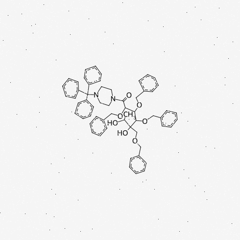 CC(O)C(O)(COCc1ccccc1)C(OCc1ccccc1)C(OCc1ccccc1)C(OCc1ccccc1)C(=O)N1CCN(C(c2ccccc2)(c2ccccc2)c2ccccc2)CC1